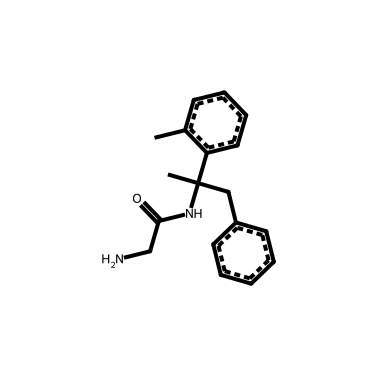 Cc1ccccc1C(C)(Cc1ccccc1)NC(=O)CN